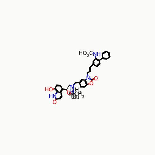 CC(C)(C)[Si](C)(C)O[C@H](CNCc1ccc2oc(=O)n(C/C=C/c3ccc(-c4ccccc4)c(NC(=O)O)c3)c2c1)c1ccc(O)c2[nH]c(=O)ccc12